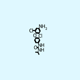 CC(C)NC(=O)Nc1ccc(Oc2c(Cl)cc(N)cc2Cl)cc1